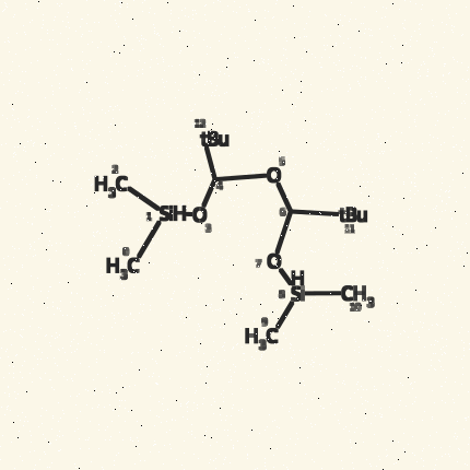 C[SiH](C)OC(OC(O[SiH](C)C)C(C)(C)C)C(C)(C)C